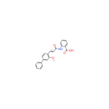 COc1cc(-c2ccccc2)ccc1/C=C/C(=O)Nc1ccccc1C(=O)O